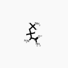 CC(C)(N)CC(C)(C)C(N)C(N)=O